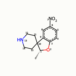 C[C@H]1Oc2ccc([N+](=O)[O-])cc2C12CCNCC2